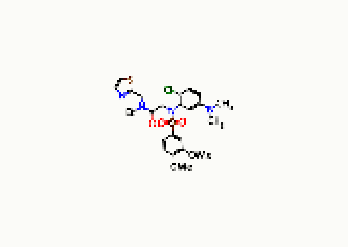 CCN(Cc1nccs1)C(=O)CN(c1cc(N(C)C)ccc1Cl)S(=O)(=O)c1ccc(OC)c(OC)c1